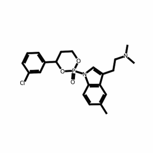 Cc1ccc2c(c1)c(CCN(C)C)cn2P1(=O)OCCC(c2cccc(Cl)c2)O1